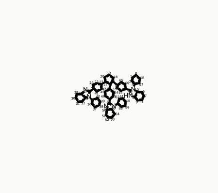 c1ccc(N2c3ccccc3NC2c2ccc(-c3cccc(-c4ccc(-c5nc6ccccc6n5-c5ccccc5)cc4)c3-c3ccc(-c4nc5ccccc5n4-c4ccccc4)cc3)cc2)cc1